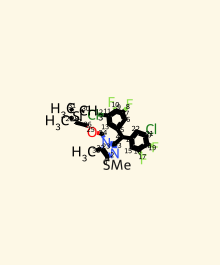 CSc1nc(C(c2cc(F)c(F)c(Cl)c2)c2cc(F)c(F)c(Cl)c2)n(COCC[Si](C)(C)C)c1C